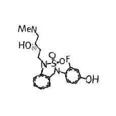 CNC[C@@H](O)CCN1c2ccccc2N(c2ccc(O)cc2F)S1(=O)=O